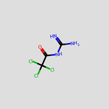 N=C(N)NC(=O)C(Cl)(Cl)Cl